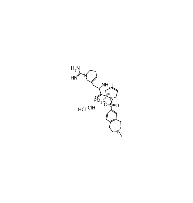 CC1=CCN(S(=O)(=O)c2ccc3c(c2)CCN(C)CC3)[C@@](C(=O)O)(C(=O)C(N)CC2=CCCN(C(=N)N)C2)C1.Cl.Cl